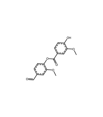 COc1cc(C(=O)Oc2ccc(C=O)cc2OC)ccc1O